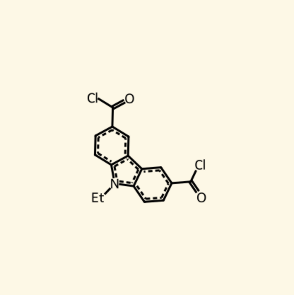 CCn1c2ccc(C(=O)Cl)cc2c2cc(C(=O)Cl)ccc21